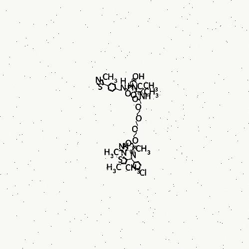 Cc1ncsc1-c1ccc(CNC(=O)[C@@H]2C[C@@H](O)CN2C(=O)[C@@H](NC(=O)COCCOCCOCCOC(=O)[C@H](C)[C@@H]2N=C(c3ccc(Cl)cc3)c3c(sc(C)c3C)-n3c(C)nnc32)C(C)(C)C)cc1